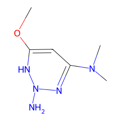 COC1=CC(N(C)C)=NN(N)N1